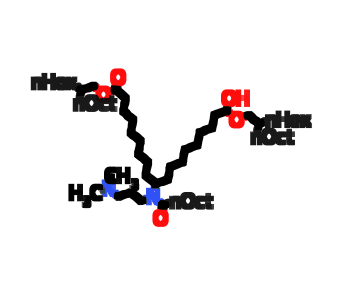 CCCCCCCCC(=O)N(CCCN(C)C)C(CCCCCCCCC(=O)OCC(CCCCCC)CCCCCCCC)CCCCCCCCC(O)OCC(CCCCCC)CCCCCCCC